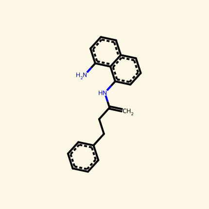 C=C(CCc1ccccc1)Nc1cccc2cccc(N)c12